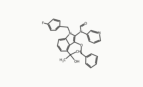 CC(C)(O)c1cccc2c1c(OCc1ccccc1)c(N(C=O)c1cccnc1)n2Cc1ccc(F)cc1